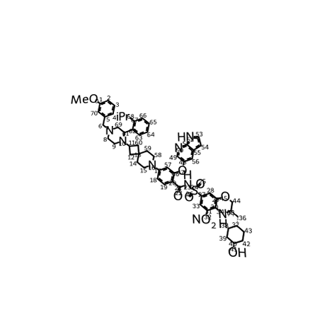 COc1cccc(CN2CCN(C3CC4(CCN(c5ccc(C(=O)NS(=O)(=O)c6cc7c(c([N+](=O)[O-])c6)N[C@H](C[C@H]6CC[C@H](O)CC6)CO7)c(Oc6cnc7[nH]ccc7c6)c5)CC4)C3)C(c3ccccc3C(C)C)C2)c1